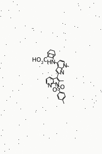 Cc1ccc(S(=O)(=O)n2c(C)c(-c3cc4c(NC5C6CCC(CC6)C5C(=O)O)ccn(C)c-4n3)c3cccnc32)cc1